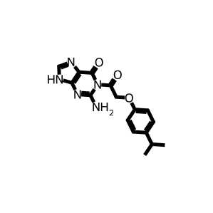 CC(C)c1ccc(OCC(=O)n2c(N)nc3[nH]cnc3c2=O)cc1